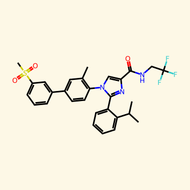 Cc1cc(-c2cccc(S(C)(=O)=O)c2)ccc1-n1cc(C(=O)NCC(F)(F)F)nc1-c1ccccc1C(C)C